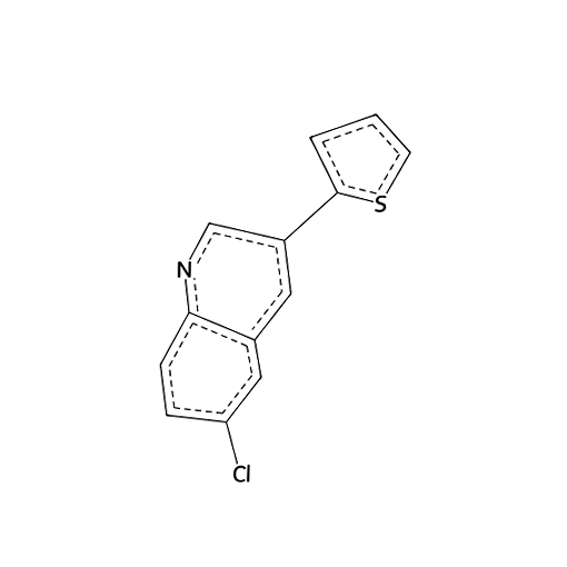 Clc1ccc2ncc(-c3cccs3)cc2c1